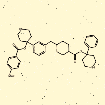 CSc1ccc(C(=O)OC2(c3cccc(CC4CCC(C(=O)OC5(c6ccccc6)CCNCC5)CC4)c3)CCNCC2)cc1